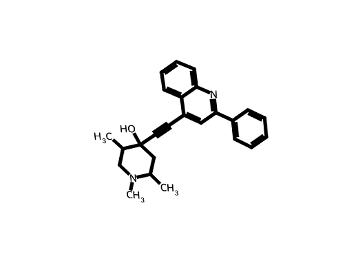 CC1CC(O)(C#Cc2cc(-c3ccccc3)nc3ccccc23)C(C)CN1C